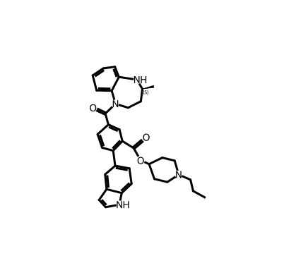 CCCN1CCC(OC(=O)c2cc(C(=O)N3CC[C@H](C)Nc4ccccc43)ccc2-c2ccc3[nH]ccc3c2)CC1